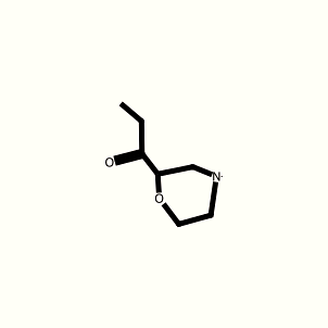 CCC(=O)C1C[N]CCO1